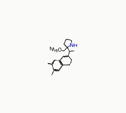 COCC1(C(C)C2=Cc3cc(C)c(C)cc3CC2)CCCN1